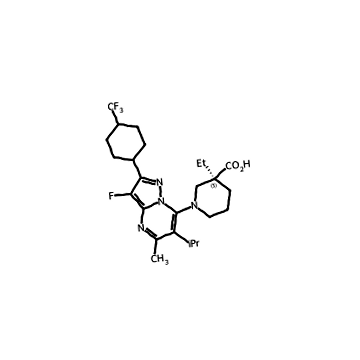 CC[C@]1(C(=O)O)CCCN(c2c(C(C)C)c(C)nc3c(F)c(C4CCC(C(F)(F)F)CC4)nn23)C1